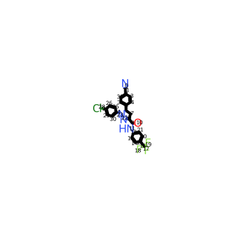 N#Cc1ccc(C2CC(C(=O)Nc3ccc(C(F)(F)F)cc3)=NN2c2ccc(Cl)cc2)cc1